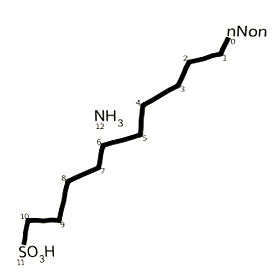 CCCCCCCCCCCCCCCCCCCS(=O)(=O)O.N